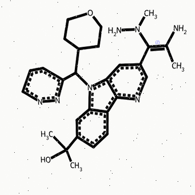 C/C(N)=C(\c1cnc2c3ccc(C(C)(C)O)cc3n(C(c3cccnn3)C3CCOCC3)c2c1)N(C)N